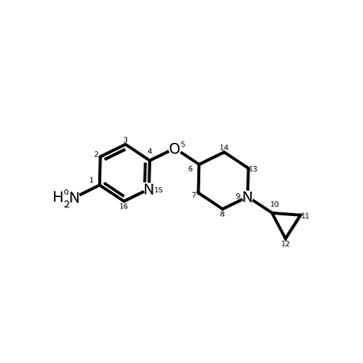 Nc1ccc(OC2CCN(C3CC3)CC2)nc1